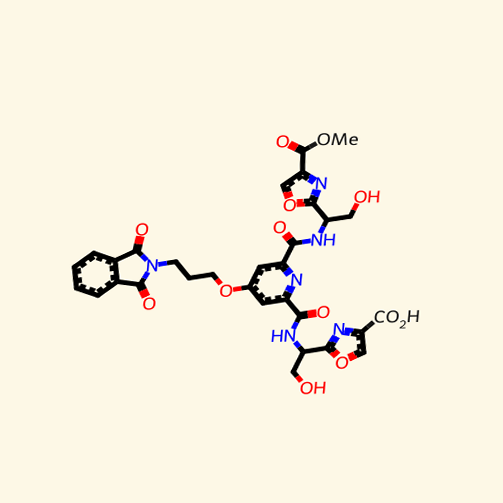 COC(=O)c1coc(C(CO)NC(=O)c2cc(OCCCN3C(=O)c4ccccc4C3=O)cc(C(=O)NC(CO)c3nc(C(=O)O)co3)n2)n1